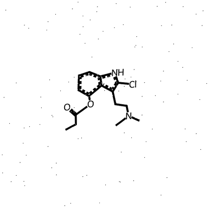 CCC(=O)Oc1cccc2[nH]c(Cl)c(CCN(C)C)c12